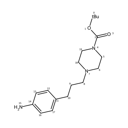 CC(C)(C)OC(=O)N1CCN(CCCc2ccc(N)cc2)CC1